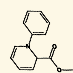 COC(=O)C1C=CC=CN1c1ccccc1